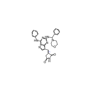 O=C1C/C(=C\c2cnn3c(Nc4ccccc4)nc(NC(c4ccccc4)N4CCOCC4)nc23)C(=O)N1